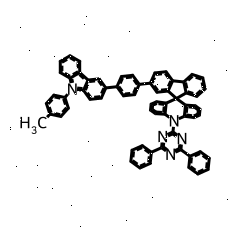 Cc1ccc(-n2c3ccccc3c3cc(-c4ccc(-c5ccc6c(c5)C5(c7ccccc7-6)c6ccccc6N(c6nc(-c7ccccc7)nc(-c7ccccc7)n6)c6ccccc65)cc4)ccc32)cc1